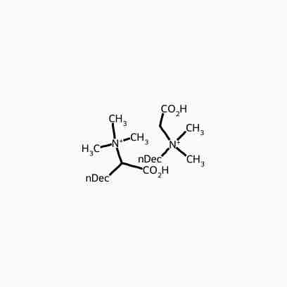 CCCCCCCCCCC(C(=O)O)[N+](C)(C)C.CCCCCCCCCC[N+](C)(C)CC(=O)O